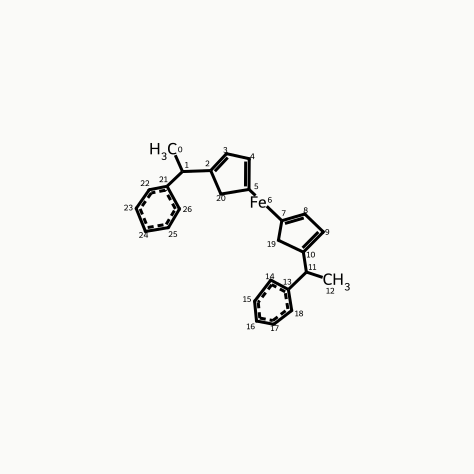 CC(C1=CC=[C]([Fe][C]2=CC=C(C(C)c3ccccc3)C2)C1)c1ccccc1